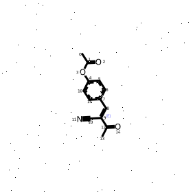 CC(=O)Oc1ccc(/C=C(\C#N)C(C)=O)cc1